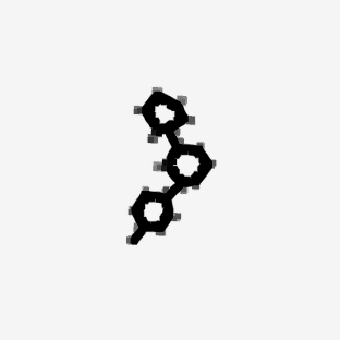 Cc1ccc(-c2cccc(-c3ccccn3)n2)cc1